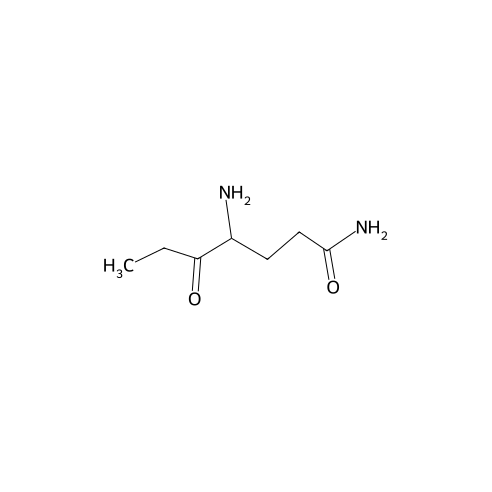 CCC(=O)C(N)CCC(N)=O